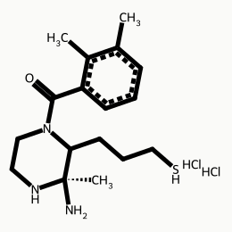 Cc1cccc(C(=O)N2CCN[C@](C)(N)C2CCCS)c1C.Cl.Cl